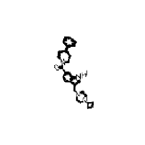 O=C(c1ccc2c(CN3CCN(C4CCC4)CC3)c[nH]c2c1)N1CCC(c2ccccc2)CC1